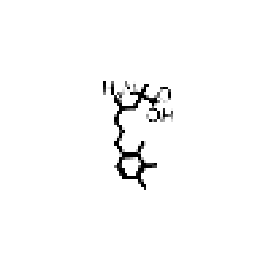 Cc1ccc(CCCC(C)CC(C)(N)C(=O)O)c(C)c1C